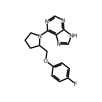 Fc1ccc(OCC2CCCN2c2ncnc3[nH]cnc23)cc1